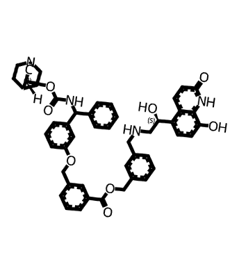 O=C(NC(c1ccccc1)c1cccc(OCc2cccc(C(=O)OCc3cccc(CNC[C@@H](O)c4ccc(O)c5[nH]c(=O)ccc45)c3)c2)c1)O[C@H]1CN2CCC1CC2